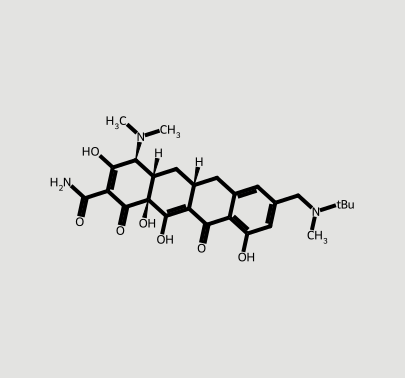 CN(C)[C@@H]1C(O)=C(C(N)=O)C(=O)[C@@]2(O)C(O)=C3C(=O)c4c(O)cc(CN(C)C(C)(C)C)cc4C[C@H]3C[C@@H]12